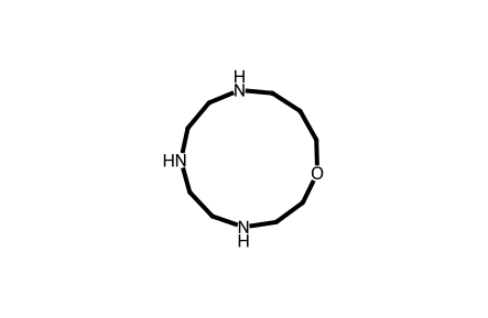 C1CNCCNCCNCCOC1